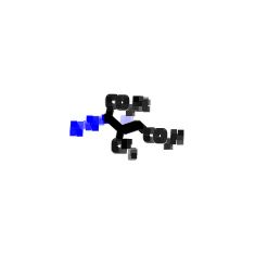 CCOC(=O)C(=[N+]=[N-])/C(=C/C(=O)O)C(F)(F)F